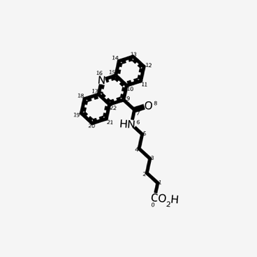 O=C(O)CCCCCNC(=O)c1c2ccccc2nc2ccccc12